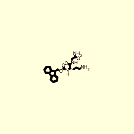 NCCC[C@H](NC(=O)OCC1c2ccccc2-c2ccccc21)C(=O)NCC(N)=O